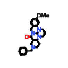 COc1ccc(CN2C(=O)C3=C(CCN(Cc4ccccc4)C3)N3CCCN=C23)cc1